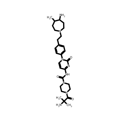 CC1CCN(CCc2ccc(-n3ccc(NC(=O)N4CCN(C(=O)C(C)(C)N)CC4)nc3=O)cc2)CCC1N